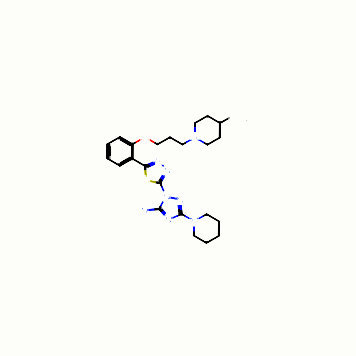 CC1CCN(CCCOc2ccccc2-c2nnc(-n3nc(N4CCCCC4)nc3N)s2)CC1